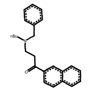 CCCCN(CCC(=O)c1ccc2ccccc2c1)Cc1ccccc1